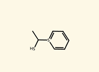 CC(S)S1=CC=CC=C1